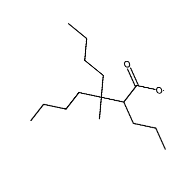 CCCCC(C)(CCCC)C(CCC)C([O])=O